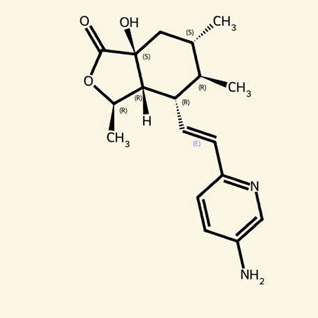 C[C@H]1[C@H](/C=C/c2ccc(N)cn2)[C@@H]2[C@@H](C)OC(=O)[C@]2(O)C[C@@H]1C